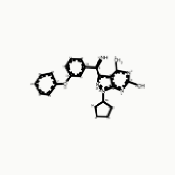 Cc1nc(O)nc2c1c(C(=N)c1cccc(Oc3ccccc3)c1)nn2C1CCCC1